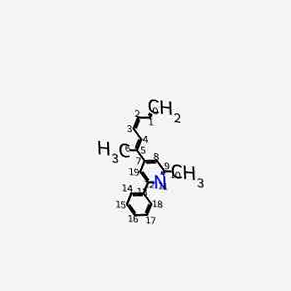 C=C/C=C\C=C(/C)c1cc(C)nc(-c2ccccc2)c1